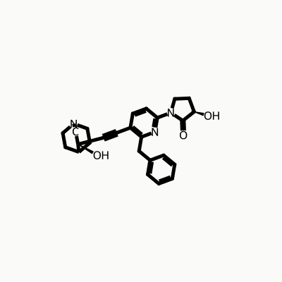 O=C1[C@H](O)CCN1c1ccc(C#C[C@@]2(O)CN3CCC2CC3)c(Cc2ccccc2)n1